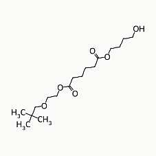 CC(C)(C)COCCOC(=O)CCCCC(=O)OCCCCO